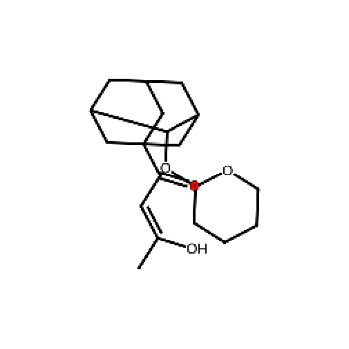 C/C(O)=C/C(=O)C12CC3CC(C1)C(OC1CCCCO1)C(C3)C2